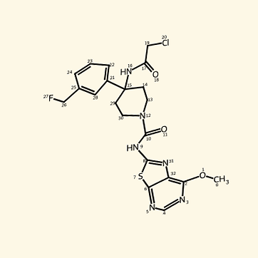 COc1ncnc2sc(NC(=O)N3CCC(NC(=O)CCl)(c4cccc(CF)c4)CC3)nc12